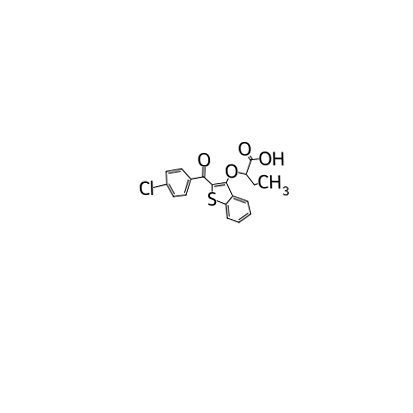 CCC(Oc1c(C(=O)c2ccc(Cl)cc2)sc2ccccc12)C(=O)O